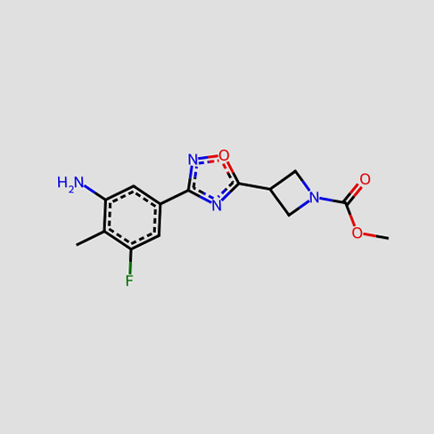 COC(=O)N1CC(c2nc(-c3cc(N)c(C)c(F)c3)no2)C1